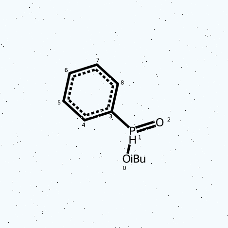 CC(C)CO[PH](=O)c1ccccc1